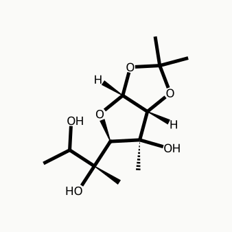 CC(O)[C@@](C)(O)[C@H]1O[C@@H]2OC(C)(C)O[C@@H]2[C@@]1(C)O